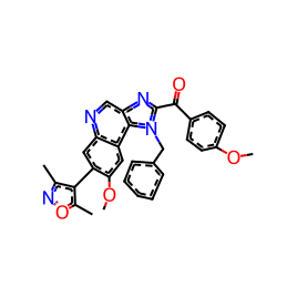 COc1ccc(C(=O)c2nc3cnc4cc(-c5c(C)noc5C)c(OC)cc4c3n2Cc2ccccc2)cc1